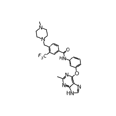 Cc1nc(Oc2cccc(NC(=O)c3ccc(CN4CCN(C)CC4)c(C(F)(F)F)c3)c2)c2nc[nH]c2n1